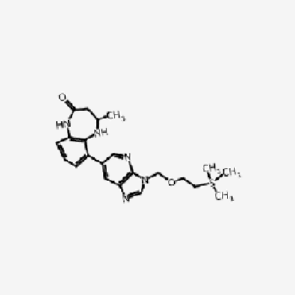 C[C@@H]1CC(=O)Nc2cccc(-c3cnc4c(c3)ncn4COCCS(C)(C)C)c2N1